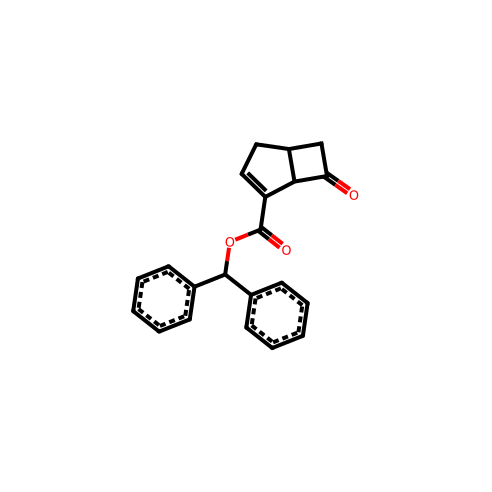 O=C(OC(c1ccccc1)c1ccccc1)C1=CCC2CC(=O)C12